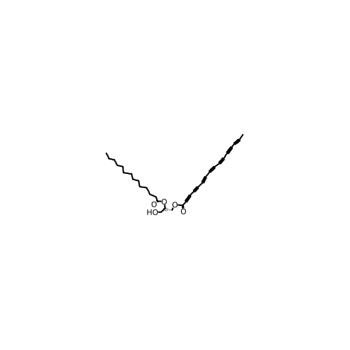 CC#CC#CC#CC#CC#CC#CC#CC(=O)OC[C@H](CO)OC(=O)CCCCCCCCCCCCC